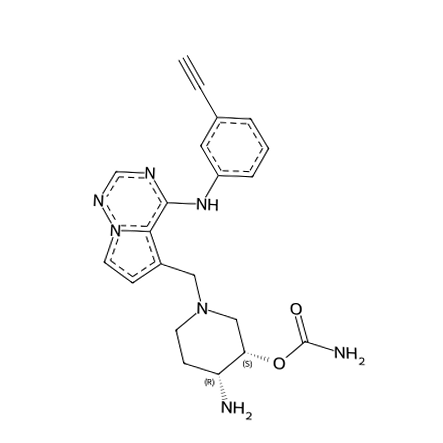 C#Cc1cccc(Nc2ncnn3ccc(CN4CC[C@@H](N)[C@@H](OC(N)=O)C4)c23)c1